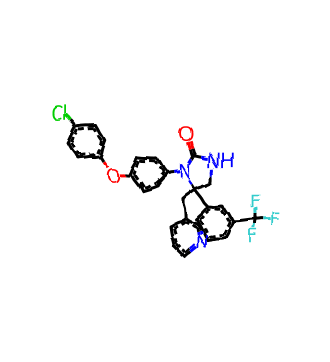 O=C1NCC(Cc2cccnc2)(c2cccc(C(F)(F)F)c2)N1c1ccc(Oc2ccc(Cl)cc2)cc1